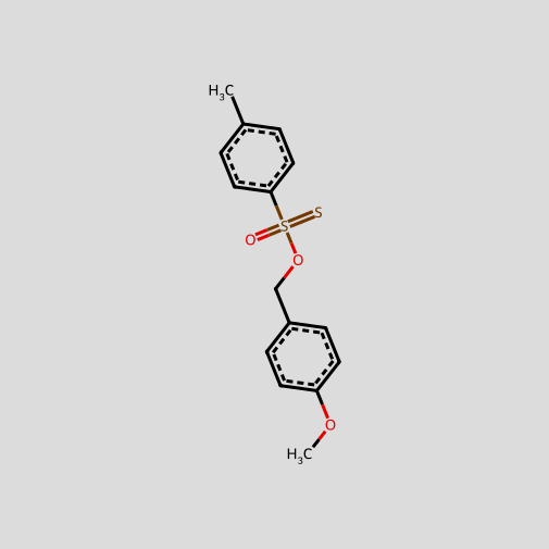 COc1ccc(COS(=O)(=S)c2ccc(C)cc2)cc1